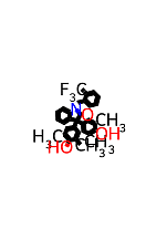 Cc1cc(C2(c3cc(C)c(O)c(C)c3)C(=O)N(Cc3ccccc3C(F)(F)F)c3ccccc32)cc(C)c1O